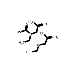 C=C(C)CN(CC)C(=S)S.C=C(C)CNCC